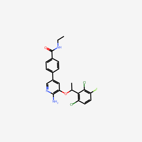 CCNC(=O)c1ccc(-c2cnc(N)c(OC(C)c3c(Cl)ccc(F)c3Cl)c2)cc1